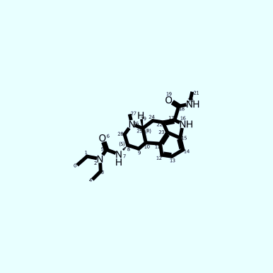 CCN(CC)C(=O)N[C@H]1CC2c3cccc4[nH]c(C(=O)NC)c(c34)C[C@H]2N(C)C1